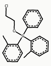 Cc1ccccc1[Si](OCCCl)(c1ccccc1)c1ccccc1C